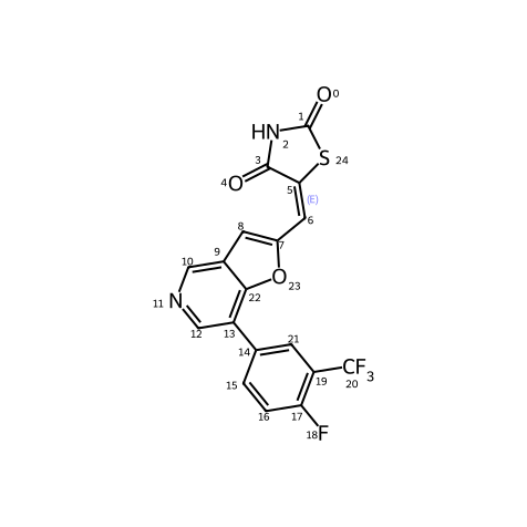 O=C1NC(=O)/C(=C\c2cc3cncc(-c4ccc(F)c(C(F)(F)F)c4)c3o2)S1